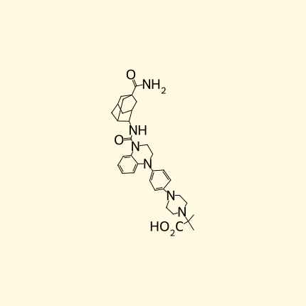 CC(C)(C(=O)O)N1CCN(c2ccc(N3CCN(C(=O)NC4C5CC6CC4CC(C(N)=O)(C6)C5)c4ccccc43)cc2)CC1